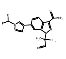 CC(C)(C=O)n1nc(C(N)=O)c2ccc(-c3cnn(C(F)F)c3)cc21